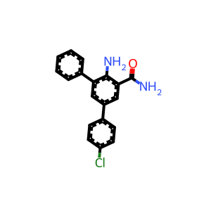 NC(=O)c1cc(-c2ccc(Cl)cc2)cc(-c2ccccc2)c1N